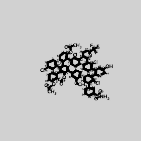 COc1cccc(-c2[c]c(-c3cccc(OC(C)=O)c3-c3cccc(-c4ccc(C(F)(F)F)nc4-c4cccc(-c5cc(O)cnc5-c5cccc(-c6cccc(S(N)(=O)=O)c6)c5Cl)c4Cl)c3Cl)c(-c3cccc(Cl)c3)c(-c3cccc(OC(C)=O)c3)c2OC(C)=O)c1